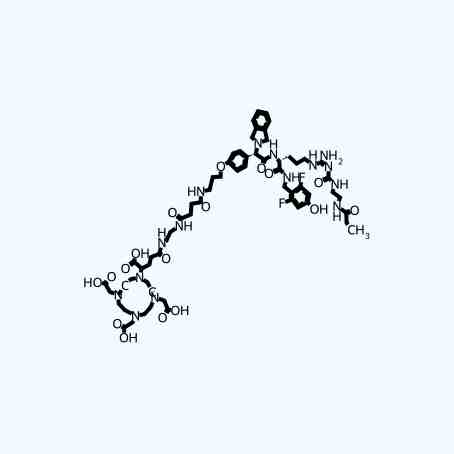 CCC(=O)NCCNC(=O)/N=C(/N)NCCC[C@@H](NC(=O)[C@H](c1ccc(OCCCNC(=O)CCC(=O)NCCNC(=O)CCC(C(=O)O)N2CCN(CC(=O)O)CCN(CC(=O)O)CCN(CC(=O)O)CC2)cc1)N1Cc2ccccc2C1)C(=O)NCc1c(F)cc(O)cc1F